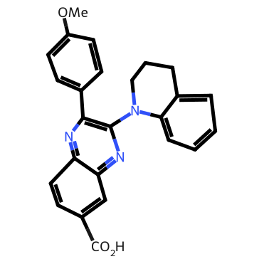 COc1ccc(-c2nc3ccc(C(=O)O)cc3nc2N2CCCc3ccccc32)cc1